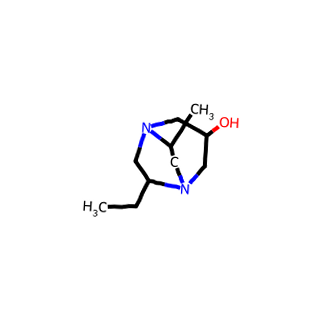 CCC1CN2CC(O)CN1CC2C